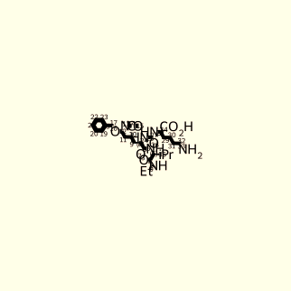 CCNC(=O)[C@@H](NC(=O)[C@@H](CCCC(N=C=O)OCc1ccccc1)NC(=O)N[C@@H](CCCCN)C(=O)O)C(C)C